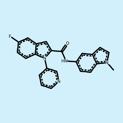 Cn1ccc2cc(NC(=O)c3cc4cc(F)ccc4n3-c3cccnc3)ccc21